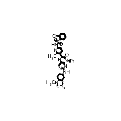 Cc1nc(NS(=O)(=O)c2ccccc2Cl)ccc1-c1nc2cnc(NC3CCC(N(C)C)C(F)C3)nc2n(C(C)C)c1=O